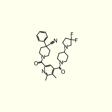 Cc1nc(C(=O)N2CCC(C#N)(c3ccccc3)CC2)cc(C(=O)N2CCC(N3CCC(F)(F)C3)CC2)c1C